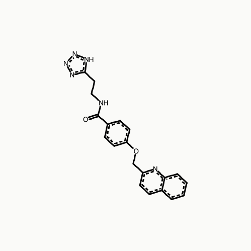 O=C(NCCc1nnn[nH]1)c1ccc(OCc2ccc3ccccc3n2)cc1